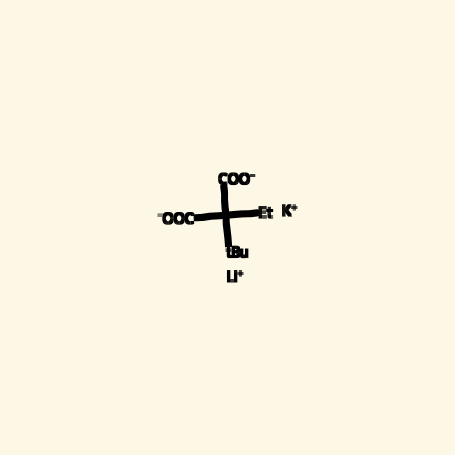 CCC(C(=O)[O-])(C(=O)[O-])C(C)(C)C.[K+].[Li+]